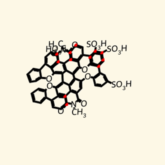 CN1C(=O)c2cc(Oc3ccccc3-c3ccccc3)c3c4c(Oc5ccccc5-c5ccccc5)cc5c6c(cc(Oc7ccc(S(=O)(=O)O)cc7-c7ccc(S(=O)(=O)O)cc7)c(c7c(Oc8ccc(S(=O)(=O)O)cc8-c8ccc(S(=O)(=O)O)cc8)cc(c2c37)C1=O)c64)C(=O)N(C)C5=O